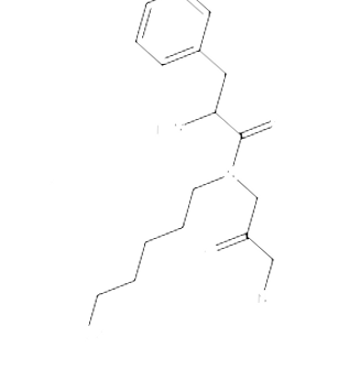 Cl.NCC(=O)CN(CCCCCC(=O)O)C(=O)C(N)Cc1ccccc1